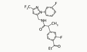 CCC(=O)c1ccc(C(C)C(=O)NCc2cc(C(F)(F)F)nn2-c2cccc(F)c2)cc1F